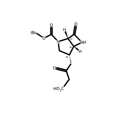 CC(C)(C)OC(=O)N1C[C@@H](CC(=O)CC(=O)O)[C@H]2NC(=O)[C@H]21